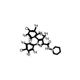 [2H]c1c([2H])c(-c2c(C([2H])([2H])[2H])c(C(=O)NN3CCCCC3)nn2-c2c([2H])c([2H])c(Cl)c([2H])c2Cl)c([2H])c([2H])c1Cl